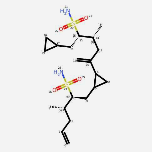 C=CC[C@H](C)[C@H](CC1CC1C(=C)C[C@@H](C)[C@H](CC1CC1)S(N)(=O)=O)S(N)(=O)=O